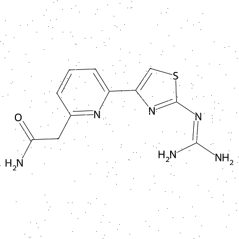 NC(=O)Cc1cccc(-c2csc(N=C(N)N)n2)n1